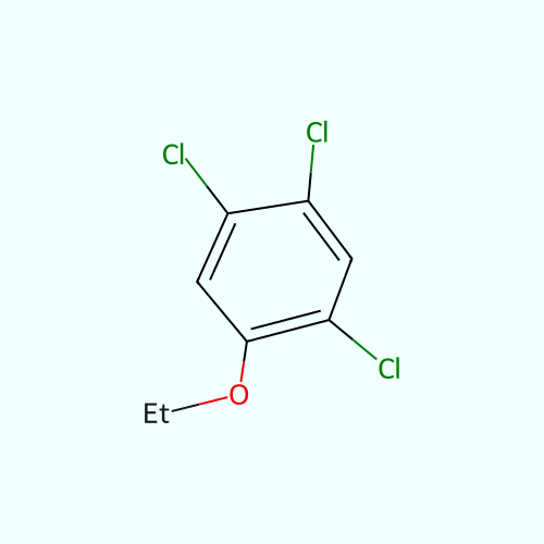 [CH2]COc1cc(Cl)c(Cl)cc1Cl